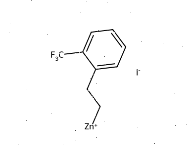 FC(F)(F)c1ccccc1C[CH2][Zn+].[I-]